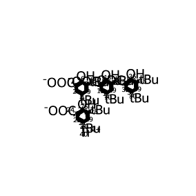 CC(C)(C)c1cc(C(=O)[O-])c(O)c(C(C)(C)C)c1.CC(C)(C)c1cc(C(=O)[O-])c(O)c(C(C)(C)C)c1.CC(C)(C)c1cc(C(=O)[O-])c(O)c(C(C)(C)C)c1.CC(C)(C)c1cc(C(=O)[O-])c(O)c(C(C)(C)C)c1.[Ti+4]